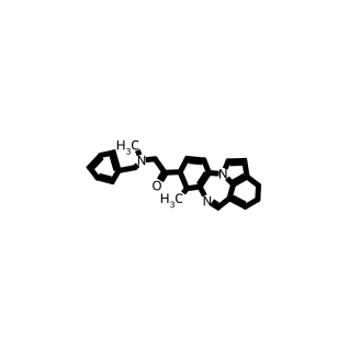 CC1C2=C(C=CC1C(=O)CN(C)Cc1ccccc1)n1ccc3c1C(=CCC3)C=N2